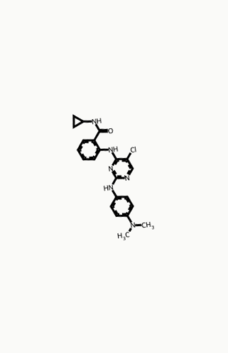 CN(C)c1ccc(Nc2ncc(Cl)c(Nc3ccccc3C(=O)NC3CC3)n2)cc1